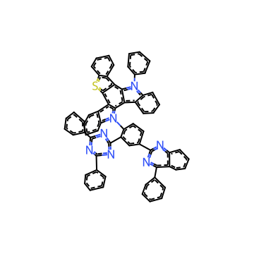 c1ccc(-c2nc(-c3ccccc3)nc(-c3cc(-c4nc(-c5ccccc5)c5ccccc5n4)ccc3-n3c4ccccc4c4c5sc6ccccc6c5c5c(c6ccccc6n5-c5ccccc5)c43)n2)cc1